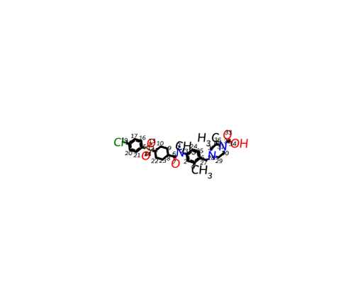 Cc1cc(N(C)C(=O)C2CCC(S(=O)(=O)c3ccc(Cl)cc3)CC2)ccc1CN1CCN(C(=O)O)[C@@H](C)C1